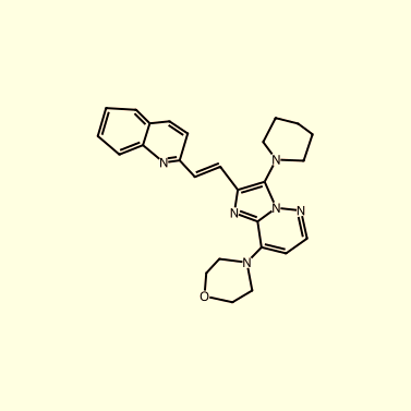 C(=C\c1nc2c(N3CCOCC3)ccnn2c1N1CCCCC1)/c1ccc2ccccc2n1